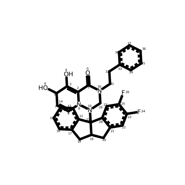 O=C1C2=C(O)C(O)C=CN2N(C23c4ccccc4CC2Cc2cc(F)c(F)cc23)CN1CCc1ccccc1